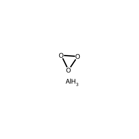 [AlH3].o1oo1